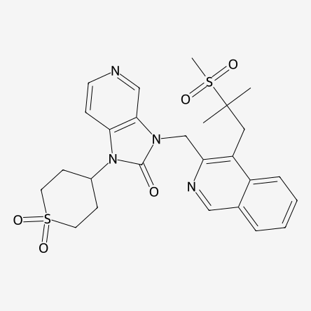 CC(C)(Cc1c(Cn2c(=O)n(C3CCS(=O)(=O)CC3)c3ccncc32)ncc2ccccc12)S(C)(=O)=O